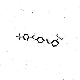 CC(C)(C)c1ccc(C(=O)Oc2ccc(/N=C/c3cccc([N+](=O)[O-])c3)cc2)cc1